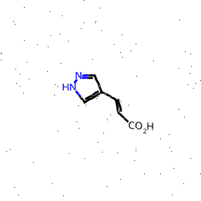 O=C(O)/C=C/c1cn[nH]c1